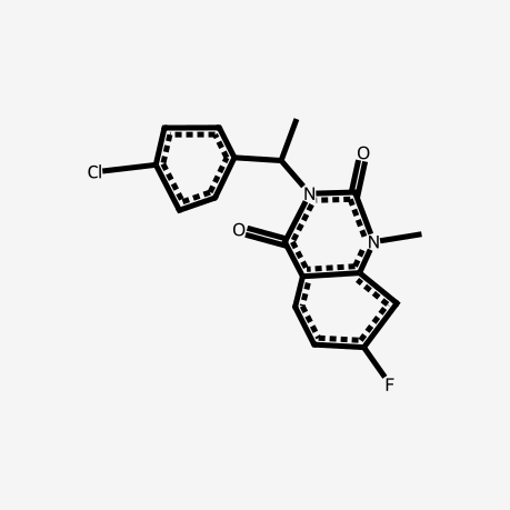 CC(c1ccc(Cl)cc1)n1c(=O)c2ccc(F)cc2n(C)c1=O